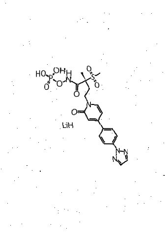 C[C@@](CCn1ccc(-c2ccc(-n3nccn3)cc2)cc1=O)(C(=O)NOP(=O)(O)O)S(C)(=O)=O.[LiH]